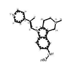 CCCCNc1ccc2c(c1)c1c(n2C=C(C)c2ccncc2)CCN(C)C1